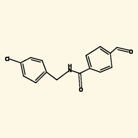 O=Cc1ccc(C(=O)NCc2ccc(Cl)cc2)cc1